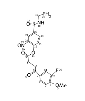 COc1ccc(C(=O)CCC(=O)Oc2ccc(C(=O)NCP)cc2N=O)cc1F